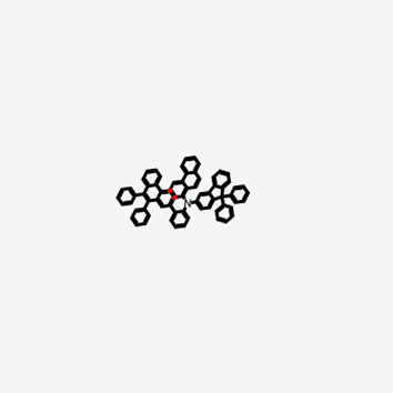 c1ccc(-c2c(-c3ccccc3)c3cc(-c4ccccc4N(c4ccc5c(c4)-c4ccccc4C5(c4ccccc4)c4ccccc4)c4cccc5c4ccc4ccccc45)ccc3c3ccccc23)cc1